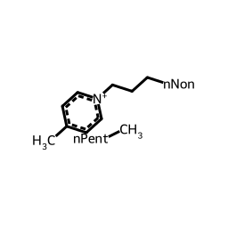 CCCCCC.CCCCCCCCCCCC[n+]1ccc(C)cc1